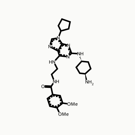 COc1ccc(C(=O)NCCNc2nc(N[C@H]3CC[C@H](N)CC3)nc3c2ncn3C2CCCC2)cc1OC